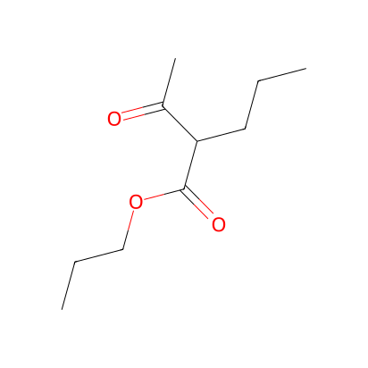 CCCOC(=O)C(CCC)C(C)=O